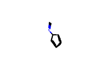 C=NC1C=CC=C1